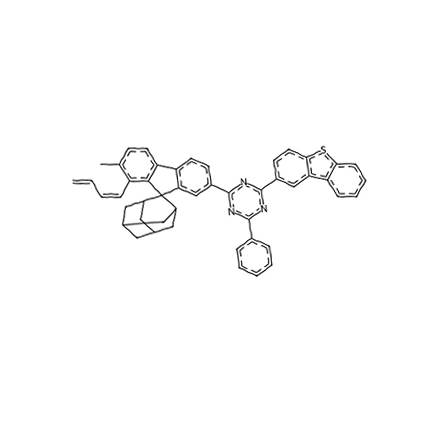 C=C/C=C\c1c(C)ccc2c1C1(c3cc(-c4nc(-c5ccccc5)nc(-c5ccc6sc7ccccc7c6c5)n4)ccc3-2)C2CC3CC(C2)CC1C3